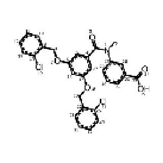 CN(C(=O)c1cc(OCc2ccccc2Cl)cc(OCc2ccccc2Cl)c1)c1cccc(C(=O)O)c1